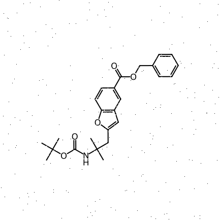 CC(C)(Cc1cc2cc(C(=O)OCc3ccccc3)ccc2o1)NC(=O)OC(C)(C)C